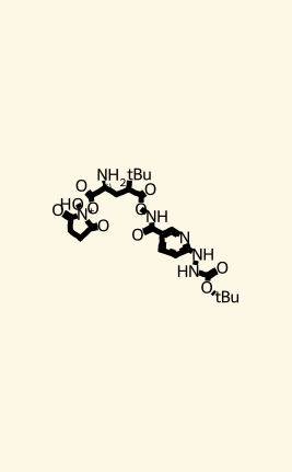 CC(C)(C)OC(=O)NNc1ccc(C(=O)NOC(=O)C(C[C@H](N)C(=O)O[N+]2(O)C(=O)CCC2=O)C(C)(C)C)cn1